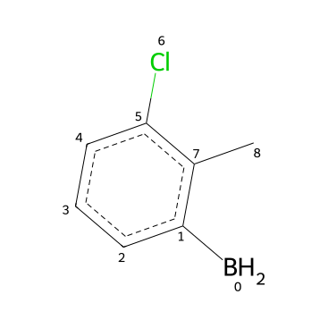 Bc1cccc(Cl)c1C